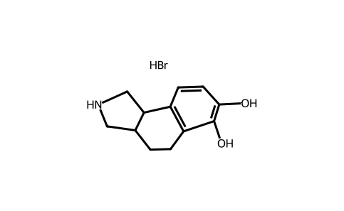 Br.Oc1ccc2c(c1O)CCC1CNCC21